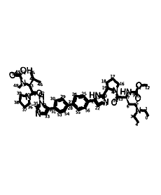 CCN(CC)CC[C@H](NC(=O)OC)C(=O)N1CCCC1c1ncc(-c2ccc(-c3ccc(-c4cnc([C@@H]5CCCN5C(=O)[C@H](C(C)C)N(C)C(=O)O)[nH]4)cc3)cc2)[nH]1